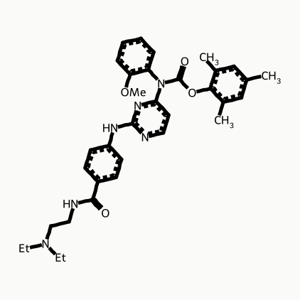 CCN(CC)CCNC(=O)c1ccc(Nc2nccc(N(C(=O)Oc3c(C)cc(C)cc3C)c3ccccc3OC)n2)cc1